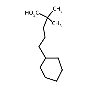 CC(C)(CCCC1CCCCC1)C(=O)O